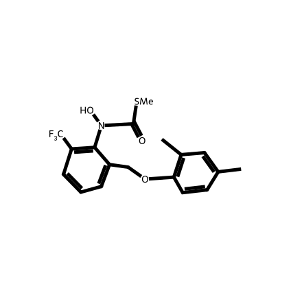 CSC(=O)N(O)c1c(COc2ccc(C)cc2C)cccc1C(F)(F)F